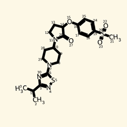 CC(C)c1nsc(N2CCC(N3CCC(Oc4ccc(S(C)(=O)=O)cc4)C3=O)CC2)n1